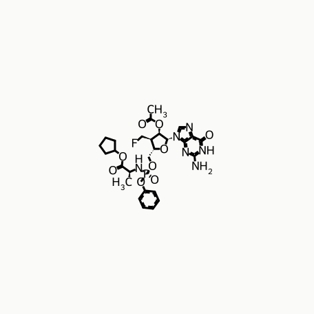 CC(=O)O[C@@H]1[C@H](CF)[C@@H](COP(=O)(N[C@@H](C)C(=O)OC2CCCC2)Oc2ccccc2)O[C@H]1n1cnc2c(=O)[nH]c(N)nc21